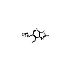 CCc1c(NC=O)cnc2sc(C)nc12